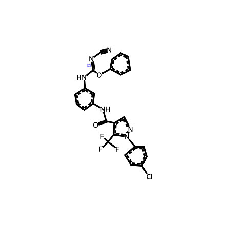 N#C/N=C(/Nc1cccc(NC(=O)c2cnn(-c3ccc(Cl)cc3)c2C(F)(F)F)c1)Oc1ccccc1